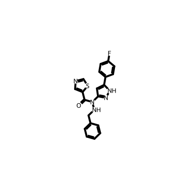 O=C(c1cncs1)N(NCc1ccccc1)c1cc(-c2ccc(F)cc2)[nH]n1